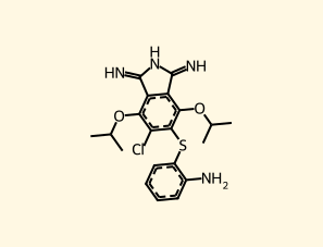 CC(C)Oc1c(Cl)c(Sc2ccccc2N)c(OC(C)C)c2c1C(=N)NC2=N